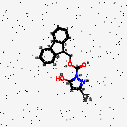 O=C(OCC1c2ccccc2-c2ccccc21)n1nc(C(F)(F)F)cc1O